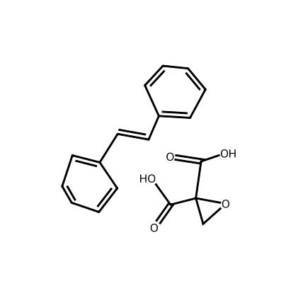 C(=Cc1ccccc1)c1ccccc1.O=C(O)C1(C(=O)O)CO1